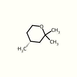 [CH2][C@@H]1CCOC(C)(C)C1